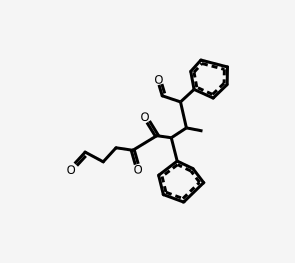 CC(C(C=O)c1ccccc1)C(C(=O)C(=O)CCC=O)c1ccccc1